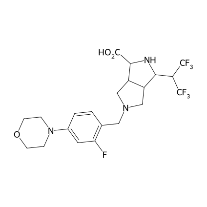 O=C(O)C1NC(C(C(F)(F)F)C(F)(F)F)C2CN(Cc3ccc(N4CCOCC4)cc3F)CC12